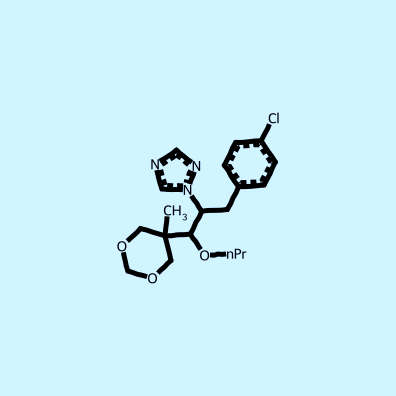 CCCOC(C(Cc1ccc(Cl)cc1)n1cncn1)C1(C)COCOC1